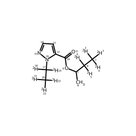 [2H]C([2H])([2H])C([2H])([2H])C(C)OC(=O)c1ccnn1C([2H])([2H])C([2H])([2H])[2H]